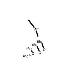 CC(C)(C)[O-].CC(C)(C)[O-].CC(C)(C)[O-].[CH3][Al+][CH3].[Mg+2]